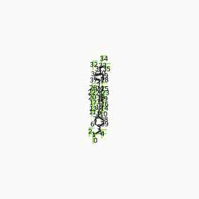 FC(F)=C(F)c1ccc(C(F)(F)C(F)(F)C(F)(F)C(F)(F)C(F)(F)C(F)(F)c2ccc(C(F)=C(F)F)cc2)cc1